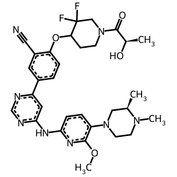 COc1nc(Nc2cc(-c3ccc(OC4CCN(C(=O)[C@@H](C)O)CC4(F)F)c(C#N)c3)ncn2)ccc1N1CCN(C)[C@H](C)C1